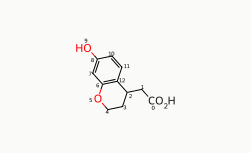 O=C(O)CC1CCOc2cc(O)ccc21